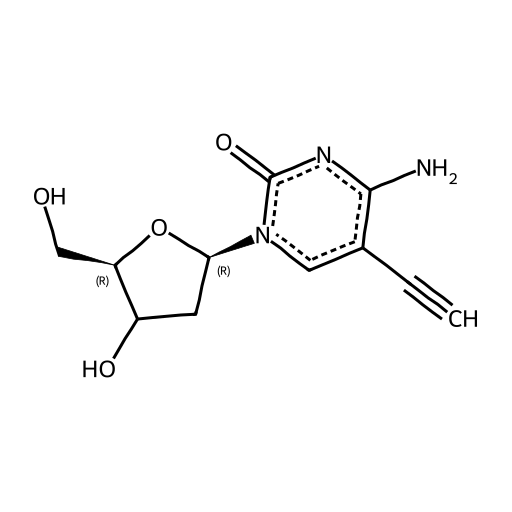 C#Cc1cn([C@H]2CC(O)[C@@H](CO)O2)c(=O)nc1N